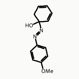 COc1ccc(N=NC2(O)C=CC=CC2)cc1